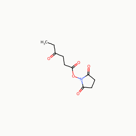 CCC(=O)CCC(=O)ON1C(=O)CCC1=O